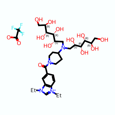 CCn1c[n+](CC)c2ccc(C(=O)N3CCC(N(C[C@H](O)[C@@H](O)[C@H](O)[C@H](O)CO)C[C@H](O)[C@@H](O)[C@H](O)[C@H](O)CO)CC3)cc21.O=C([O-])C(F)(F)F